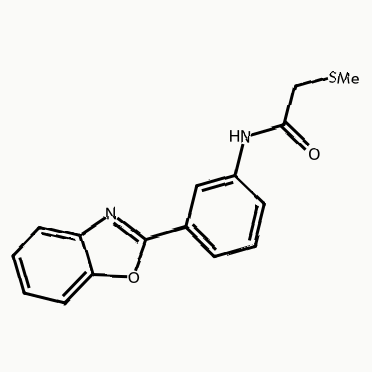 CSCC(=O)Nc1cccc(-c2nc3ccccc3o2)c1